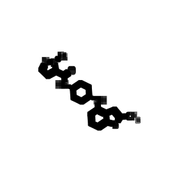 CCn1nccc1C(=O)N[C@H]1CC[C@@H](Nc2cccc3sc(C(F)(F)F)cc23)CC1